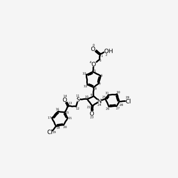 O=C(O)COc1ccc(C2C(SCC(=O)c3ccc(Cl)cc3)C(=O)N2c2ccc(Cl)cc2)cc1